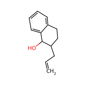 C=CCC1CCc2ccccc2C1O